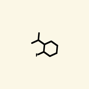 CC(C)C1CCCCC1F